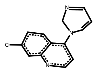 Clc1ccc2c(N3C=CC=NC3)ccnc2c1